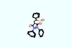 O=S=C(CC1C(=O)N(c2ccccc2)N(c2ccccc2)C1=O)c1ccccc1